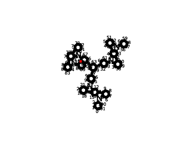 c1ccc(-n2c3ccccc3c3cc4c(cc32)c2ccccc2n4-c2ccc(-c3cc(-c4ccc(-n5c6ccccc6c6cc7c(cc65)c5ccccc5n7-c5ccccc5)cc4)cc(-c4ccc(-n5c6ccccc6c6ccc7c8ccccc8n(-c8ccccc8)c7c65)cc4)c3)cc2)cc1